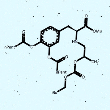 CCCCCC(=O)Oc1ccc(C[C@H](NCC(C)OC(=O)OCC(C)CC)C(=O)OC)cc1OC(=O)CCCCC